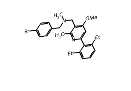 CCc1cccc(CC)c1-c1cc(OC)c(CN(C)Cc2ccc(Br)cc2)c(C)n1